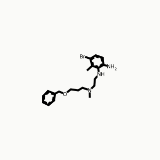 Cc1c(Br)ccc(N)c1NCCN(C)CCCOCc1ccccc1